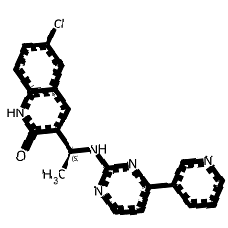 C[C@H](Nc1nccc(-c2cccnc2)n1)c1cc2cc(Cl)ccc2[nH]c1=O